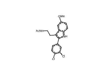 COc1ccc2[nH]c(-c3ccc(Cl)c(Cl)c3)c(CCNC(C)=O)c2c1